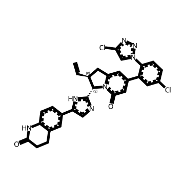 C=C[C@H]1Cc2cc(-c3cc(Cl)ccc3-n3cc(Cl)nn3)cc(=O)n2[C@@H]1c1ncc(-c2ccc3c(c2)CCC(=O)N3)[nH]1